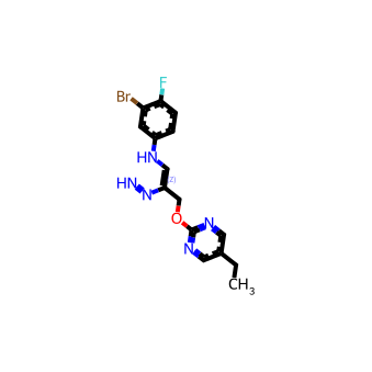 CCc1cnc(OC/C(=C/Nc2ccc(F)c(Br)c2)N=N)nc1